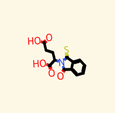 O=C(O)CCC(C(=O)O)N1C(=O)c2ccccc2C1=S